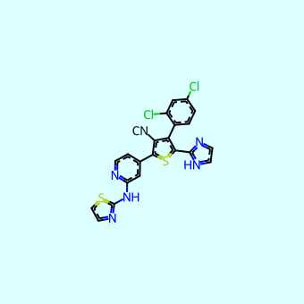 [C-]#[N+]c1c(-c2ccnc(Nc3nccs3)c2)sc(-c2ncc[nH]2)c1-c1ccc(Cl)cc1Cl